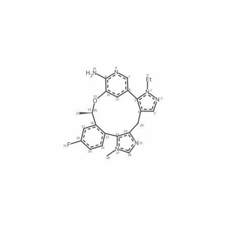 CCn1ncc2c1-c1cnc(N)c(c1)O[C@H](C)c1cc(F)ccc1-c1c(ncn1C)C2